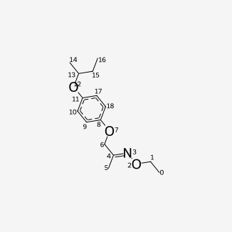 CCON=C(C)COc1ccc(OC(C)CC)cc1